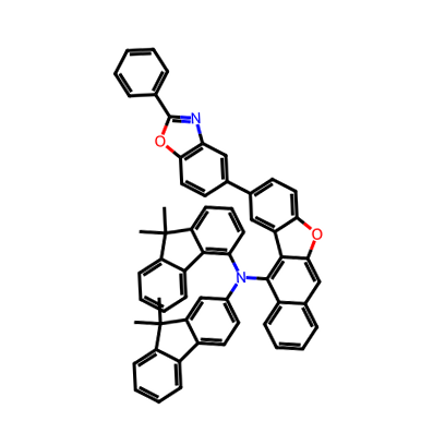 CC1(C)c2ccccc2-c2ccc(N(c3cccc4c3-c3ccccc3C4(C)C)c3c4ccccc4cc4oc5ccc(-c6ccc7oc(-c8ccccc8)nc7c6)cc5c34)cc21